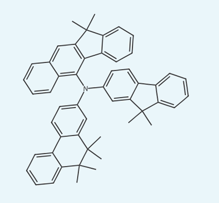 CC1(C)c2ccccc2-c2ccc(N(c3ccc4c(c3)C(C)(C)C(C)(C)c3ccccc3-4)c3c4c(cc5ccccc35)C(C)(C)c3ccccc3-4)cc21